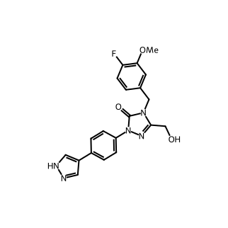 COc1cc(Cn2c(CO)nn(-c3ccc(-c4cn[nH]c4)cc3)c2=O)ccc1F